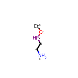 CCOPCCN